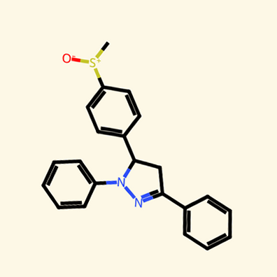 C[S+]([O-])c1ccc(C2CC(c3ccccc3)=NN2c2ccccc2)cc1